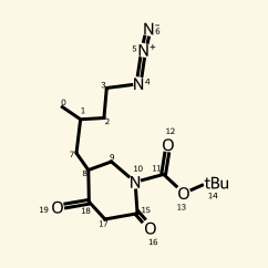 CC(CCN=[N+]=[N-])CC1CN(C(=O)OC(C)(C)C)C(=O)CC1=O